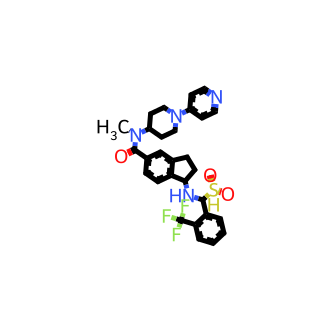 CN(C(=O)c1ccc2c(c1)CCC2NC(c1ccccc1C(F)(F)F)[SH](=O)=O)C1CCN(c2ccncc2)CC1